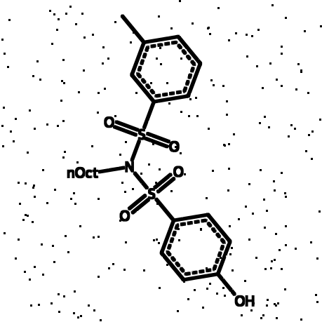 CCCCCCCCN(S(=O)(=O)c1ccc(O)cc1)S(=O)(=O)c1cccc(C)c1